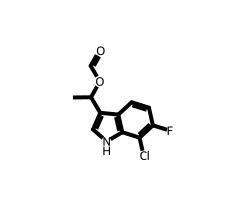 CC(OC=O)c1c[nH]c2c(Cl)c(F)ccc12